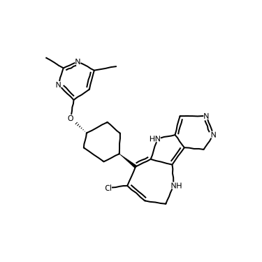 Cc1cc(O[C@H]2CC[C@H](C3=c4[nH]c5c(c4NCC=C3Cl)CN=NC=5)CC2)nc(C)n1